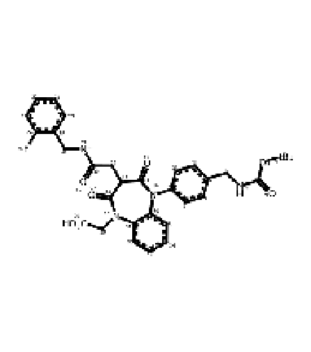 CC(C)(C)OC(=O)NCc1ccc(N2C(=O)C(CC(=O)NCc3ccccc3F)C(=O)N(CC(=O)O)c3ccccc32)cc1